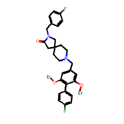 CCOc1cc(CN2CCC3(CC2)CC(=O)N(Cc2ccc(F)cc2)C3)cc(OCC)c1-c1ccc(F)cc1